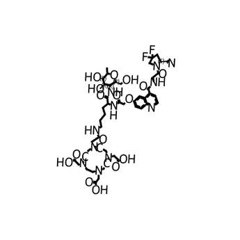 CC1O[C@@H](CO)[C@H](NC(=O)C(CCCCNC(=O)CN2CCN(CC(=O)O)CCN(CC(=O)O)CCN(CC(=O)O)CC2)NC(=O)COc2ccc3nccc(C(=O)NCC(=O)N4CC(F)(F)C[C@H]4C#N)c3c2)[C@@H](O)[C@@H]1O